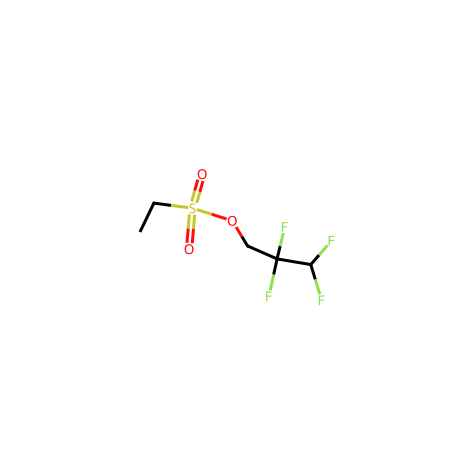 CCS(=O)(=O)OCC(F)(F)C(F)F